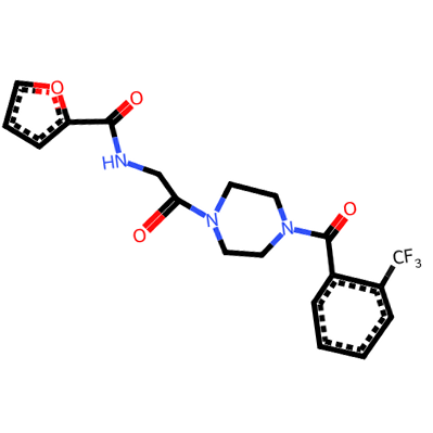 O=C(NCC(=O)N1CCN(C(=O)c2ccccc2C(F)(F)F)CC1)c1ccco1